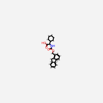 O=C(NC(C(=O)O)C1CCCCC1)OCc1cccc2c1Cc1ccccc1-2